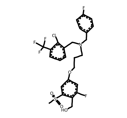 CS(=O)(=O)c1cc(OCCCN(Cc2ccc(F)cc2)Cc2cccc(C(F)(F)F)c2Cl)cc(F)c1CO